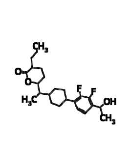 CCCC1CCC(C(C)C2CCC(c3ccc(C(C)O)c(F)c3F)CC2)OC1=O